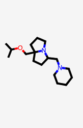 CC(C)OCC12CCCN1C(CN1CCCCC1)CC2